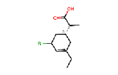 CCC1=CC(Br)C[C@H](C(C)C(=O)O)C1